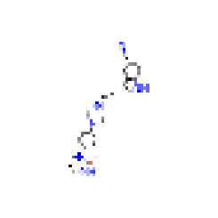 N#Cc1ccc2[nH]cc(CCCN3CCN(c4ccc(N5CCCNC5=O)cc4)CC3)c2c1